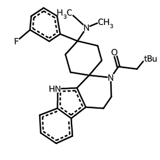 CN(C)C1(c2cccc(F)c2)CCC2(CC1)c1[nH]c3ccccc3c1CCN2C(=O)CC(C)(C)C